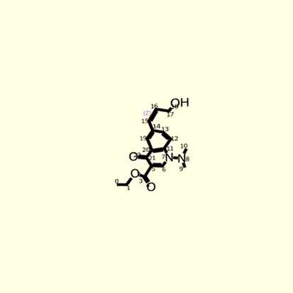 CCOC(=O)c1cn(N(C)C)c2ccc(/C=C\CO)cc2c1=O